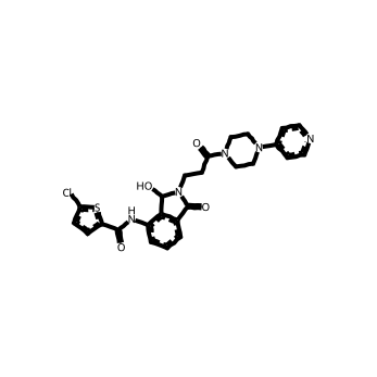 O=C(Nc1cccc2c1C(O)N(CCC(=O)N1CCN(c3ccncc3)CC1)C2=O)c1ccc(Cl)s1